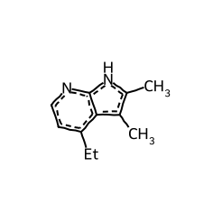 CCc1ccnc2[nH]c(C)c(C)c12